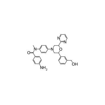 CN(C(=O)c1ccc(N)cc1)c1ccc(N2CC(c3cccc(CO)c3)OC(c3ncccn3)C2)cc1